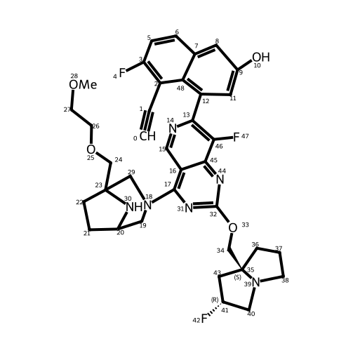 C#Cc1c(F)ccc2cc(O)cc(-c3ncc4c(N5CC6CCC(COCCOC)(C5)N6)nc(OC[C@@]56CCCN5C[C@H](F)C6)nc4c3F)c12